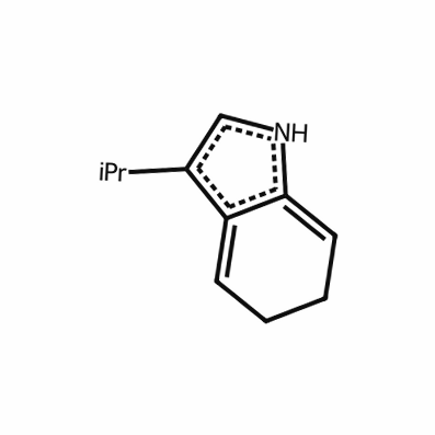 CC(C)c1c[nH]c2c1=CCCC=2